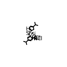 CC(C)C1=CC(C(C)C)[C]([Zr]([C]2=CC=C(C(C)C)C2)([SiH](C)C)[SiH](C)C)=C1.Cl.Cl